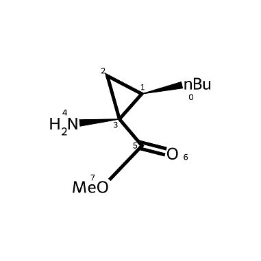 CCCC[C@@H]1C[C@@]1(N)C(=O)OC